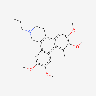 CCCN1CCc2c(c3cc(OC)c(OC)cc3c3c(C)c(OC)c(OC)cc23)C1